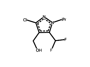 CC(C)n1nc(Cl)c(CO)c1C(F)F